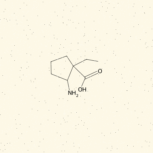 CCC1(C(=O)O)CCCC1N